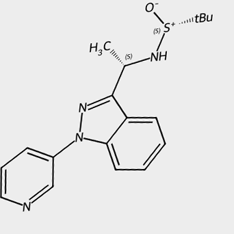 C[C@H](N[S@+]([O-])C(C)(C)C)c1nn(-c2cccnc2)c2ccccc12